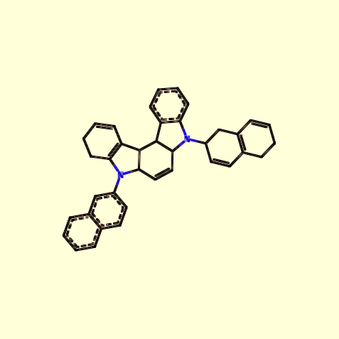 C1=CC2=C(C=CC(N3c4ccccc4C4C5C6=C(CCC=C6)N(c6ccc7ccccc7c6)C5C=CC43)C2)CC1